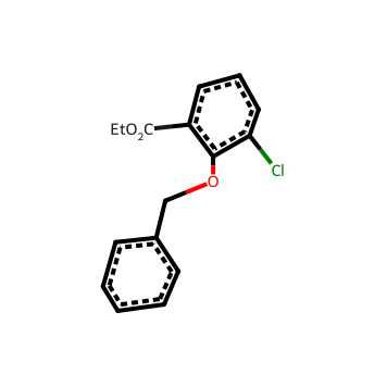 CCOC(=O)c1cccc(Cl)c1OCc1ccccc1